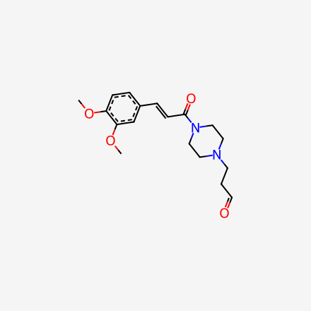 COc1ccc(C=CC(=O)N2CCN(CCC=O)CC2)cc1OC